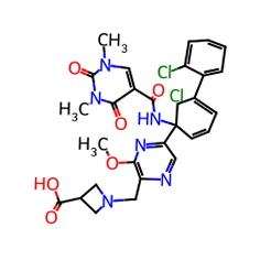 COc1nc(C2(NC(=O)c3cn(C)c(=O)n(C)c3=O)C=CC=C(c3ccccc3Cl)C2Cl)cnc1CN1CC(C(=O)O)C1